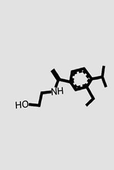 C=C(NCCO)c1ccc(C(C)C)c(CC)c1